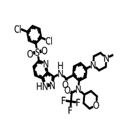 CN1CCN(c2ccc(C(=O)Nc3n[nH]c4ccc(S(=O)(=O)c5cc(Cl)ccc5Cl)nc34)c(N(C(=O)C(F)(F)F)C3CCOCC3)c2)CC1